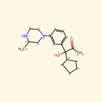 CC(=O)C(O)(c1cccc(N2CCNC(C)C2)c1)C1CCCC1